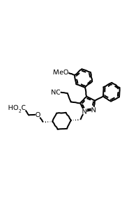 COc1cccc(-c2c(-c3ccccc3)nn(C[C@H]3CC[C@@H](COCC(=O)O)CC3)c2CCC#N)c1